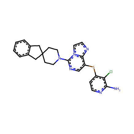 Nc1nccc(Sc2cnc(N3CCC4(CC3)Cc3ccccc3C4)n3ccnc23)c1Cl